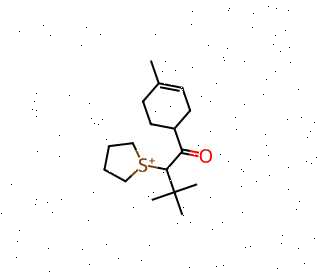 CC1=CCC(C(=O)C([S+]2CCCC2)C(C)(C)C)CC1